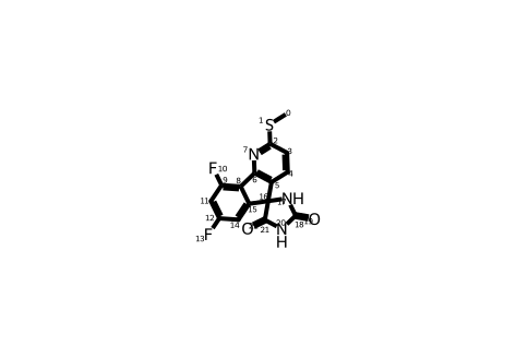 CSc1ccc2c(n1)-c1c(F)cc(F)cc1C21NC(=O)NC1=O